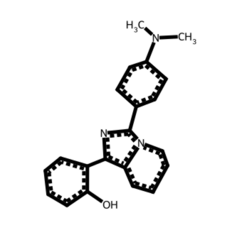 CN(C)c1ccc(-c2nc(-c3ccccc3O)c3ccccn23)cc1